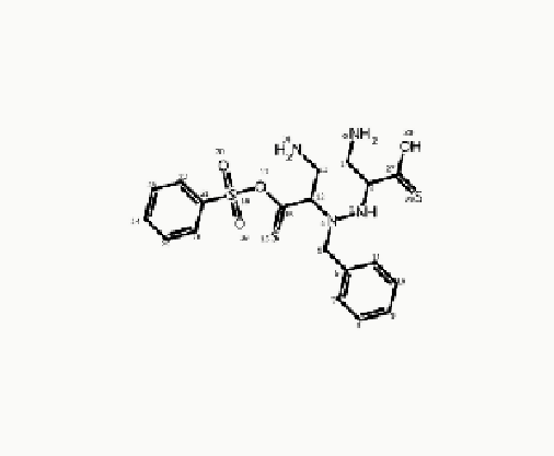 NCC(NN(Cc1ccccc1)C(CN)C(=S)OS(=O)(=O)c1ccccc1)C(O)=S